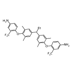 CCC(c1cc(C)c(Oc2ccc(N)cc2C(F)(F)F)c(C)c1)c1cc(C)c(Oc2ccc(N)cc2C(F)(F)F)c(C)c1